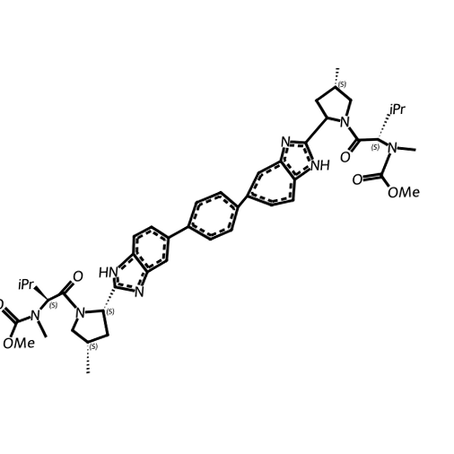 COC(=O)N(C)[C@H](C(=O)N1C[C@@H](C)CC1c1nc2cc(-c3ccc(-c4ccc5[nH]c([C@@H]6C[C@H](C)CN6C(=O)[C@H](C(C)C)N(C)C(=O)OC)nc5c4)cc3)ccc2[nH]1)C(C)C